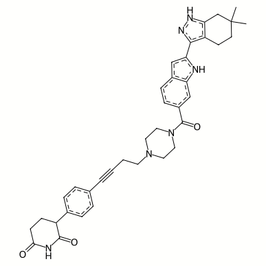 CC1(C)CCc2c(-c3cc4ccc(C(=O)N5CCN(CCC#Cc6ccc(C7CCC(=O)NC7=O)cc6)CC5)cc4[nH]3)n[nH]c2C1